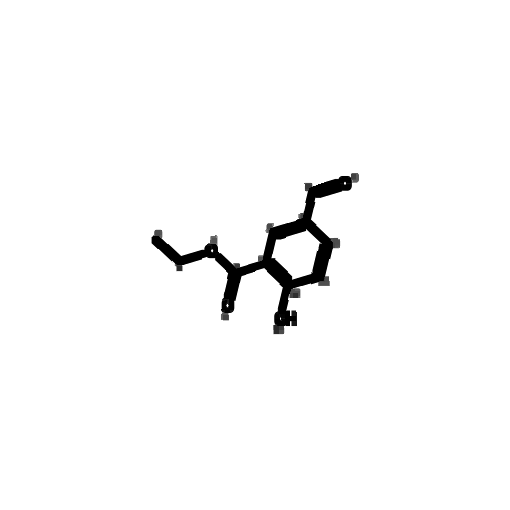 CCOC(=O)c1cc(C=O)ccc1O